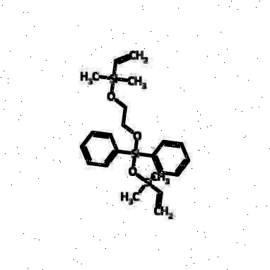 C=C[Si](C)(C)OCCO[Si](O[Si](C)(C)C=C)(c1ccccc1)c1ccccc1